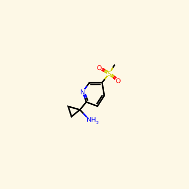 CS(=O)(=O)c1ccc(C2(N)CC2)nc1